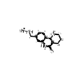 CCCNCc1ccc2c3c(c(=O)[nH]c2c1)CCCN3